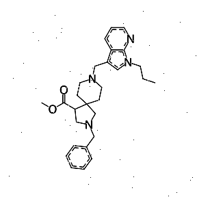 CCCn1cc(CN2CCC3(CC2)CN(Cc2ccccc2)CC3C(=O)OC)c2cccnc21